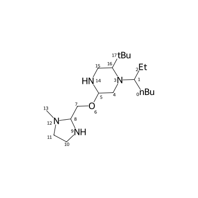 CCCCC(CC)N1CC(OCC2NCCN2C)NCC1C(C)(C)C